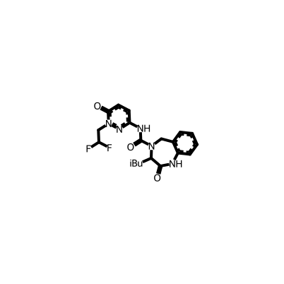 CCC(C)C1C(=O)Nc2ccccc2CN1C(=O)Nc1ccc(=O)n(CC(F)F)n1